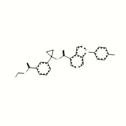 NCNC(=O)c1cccc(C2(NC(=O)c3cncc4c3cnn4-c3ccc(F)cc3)CC2)c1